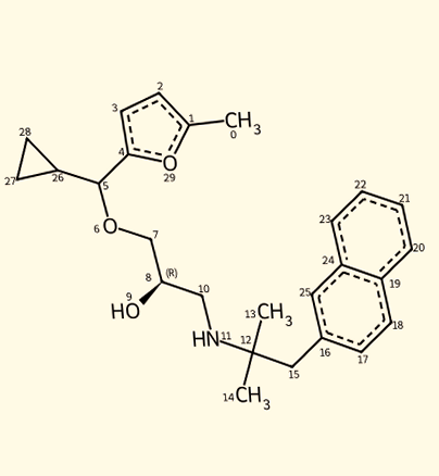 Cc1ccc(C(OC[C@H](O)CNC(C)(C)Cc2ccc3ccccc3c2)C2CC2)o1